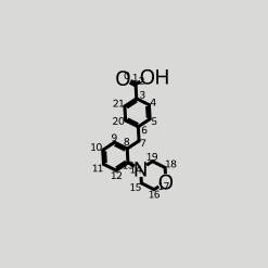 O=C(O)c1ccc(Cc2ccccc2N2CCOCC2)cc1